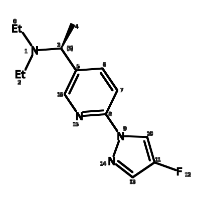 CCN(CC)[C@@H](C)c1ccc(-n2cc(F)cn2)nc1